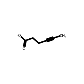 CC#CCCC([O])=O